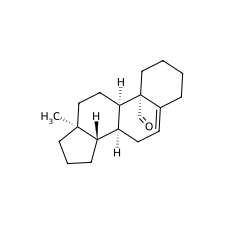 C[C@@]12CCC[C@H]1[C@@H]1CC=C3CCCC[C@]3(C=O)[C@@H]1CC2